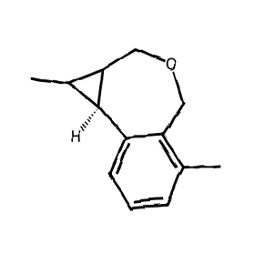 Cc1cccc2c1COCC1C(C)[C@H]21